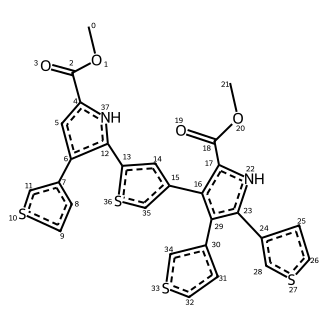 COC(=O)c1cc(-c2ccsc2)c(-c2cc(-c3c(C(=O)OC)[nH]c(-c4ccsc4)c3-c3ccsc3)cs2)[nH]1